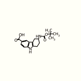 CC(C)(C)OC(=O)NC1CCc2[nH]c3ccc(C(=O)O)cc3c2C1